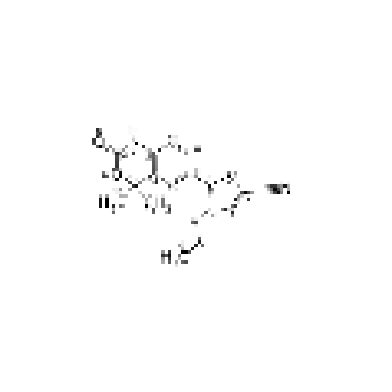 CCCc1cc(C#N)sc1-c1ccc2c(c1)C(C)(C)OC(=O)N2